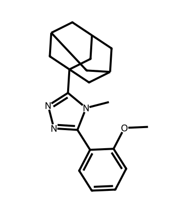 COc1ccccc1-c1nnc(C23CC4CC(CC(C4)C2)C3)n1C